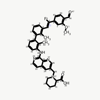 COc1cc(/C(F)=C/c2cccc(-c3cccc(Nc4nccc5cc(CN6CCCCC6C(=O)O)cnc45)c3C)c2C)ccc1C=O